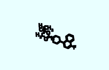 CC(C)(C)OC(=O)N1CCC(c2ccc(F)c3ccccc23)CC1